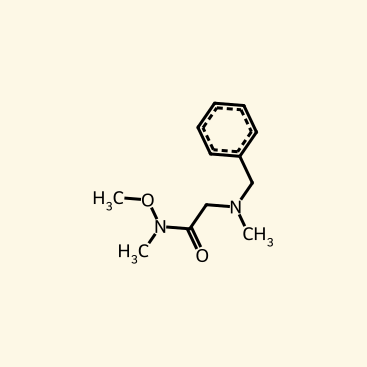 CON(C)C(=O)CN(C)Cc1ccccc1